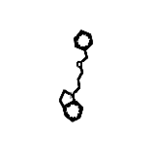 c1ccc(COCCCN2CCc3ccccc32)cc1